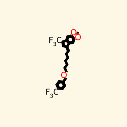 FC(F)(F)C1=C/C(=C\CCCCCCOCc2ccc(C(F)(F)F)cc2)c2cc3c(cc21)OCO3